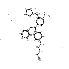 COc1ccc(N(Cc2cccnc2)c2ccc(OCCCBr)cc2)cc1OC1CCCC1